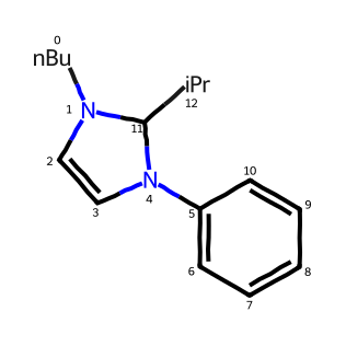 CCCCN1C=CN(c2ccccc2)C1C(C)C